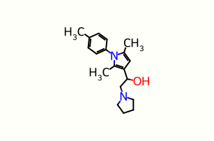 Cc1ccc(-n2c(C)cc(C(O)CN3CCCC3)c2C)cc1